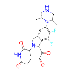 CC1CNCC(C)N1c1cc2c(c(F)c1F)C(C(=O)C=O)N(C1CCC(=O)NC1=O)C2